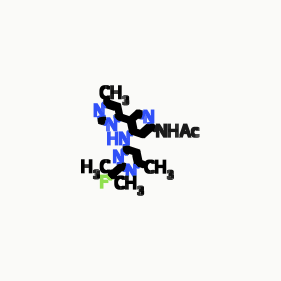 CC(=O)Nc1cc(Nc2cc(C)nc(C(C)(C)F)n2)c(-c2cc(C)ncn2)cn1